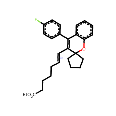 CCOC(=O)CCCC/C=C/C1=C(c2ccc(F)cc2)c2ccccc2OC12CCCC2